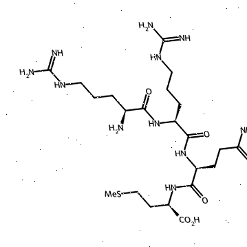 CSCC[C@@H](NC(=O)[C@H](CCC(N)=O)NC(=O)[C@H](CCCNC(=N)N)NC(=O)[C@@H](N)CCCNC(=N)N)C(=O)O